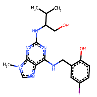 CC(C)C(CO)Nc1nc(NCc2cc(I)ccc2O)c2ncn(C)c2n1